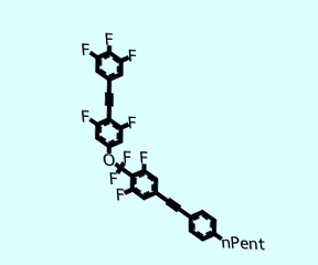 CCCCCc1ccc(C#Cc2cc(F)c(C(F)(F)Oc3cc(F)c(C#Cc4cc(F)c(F)c(F)c4)c(F)c3)c(F)c2)cc1